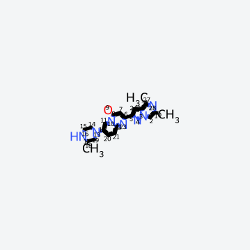 Cc1cn2nc(-c3cc(=O)n4cc(N5CCN[C@@H](C)C5)ccc4n3)cc2c(C)n1